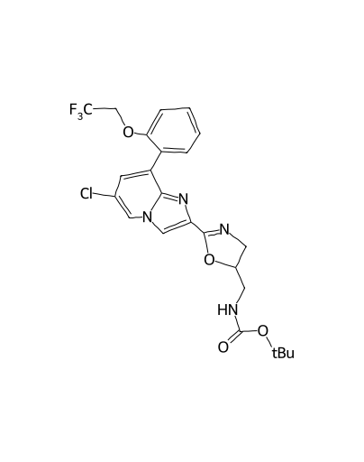 CC(C)(C)OC(=O)NCC1CN=C(c2cn3cc(Cl)cc(-c4ccccc4OCC(F)(F)F)c3n2)O1